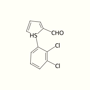 O=CC1=CC=C[SH]1c1cccc(Cl)c1Cl